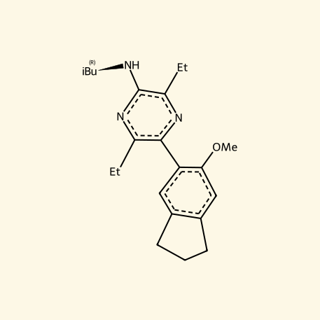 CCc1nc(-c2cc3c(cc2OC)CCC3)c(CC)nc1N[C@H](C)CC